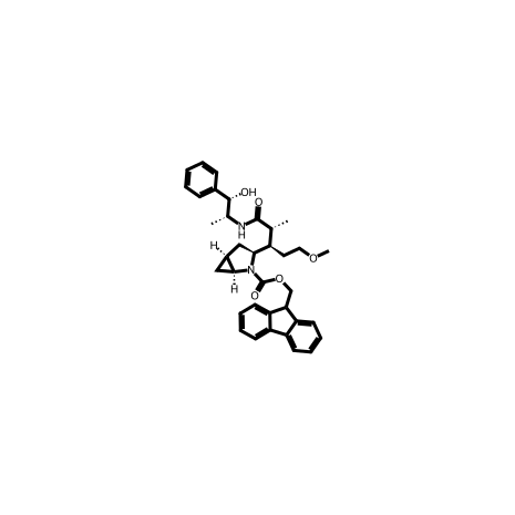 COCC[C@H]([C@@H](C)C(=O)N[C@H](C)[C@@H](O)c1ccccc1)[C@@H]1C[C@@H]2C[C@@H]2N1C(=O)OCC1c2ccccc2-c2ccccc21